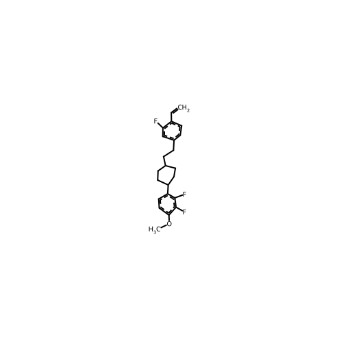 C=Cc1ccc(CCC2CCC(c3ccc(OC)c(F)c3F)CC2)cc1F